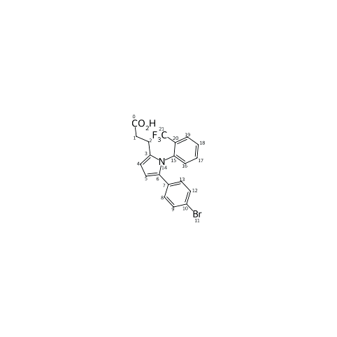 O=C(O)CCc1ccc(-c2ccc(Br)cc2)n1-c1ccccc1C(F)(F)F